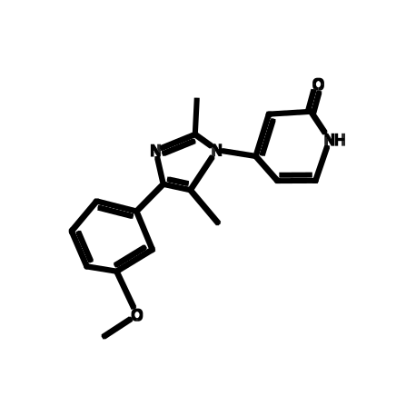 COc1cccc(-c2nc(C)n(-c3cc[nH]c(=O)c3)c2C)c1